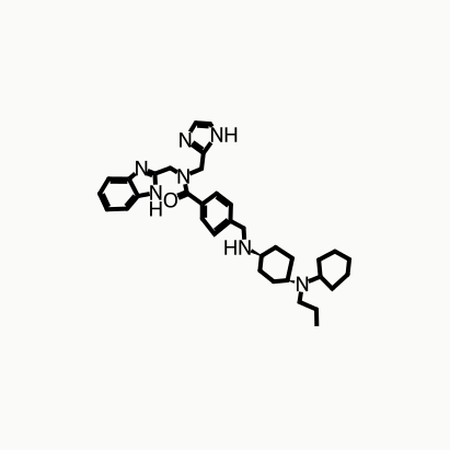 CCCN(C1CCCCC1)[C@H]1CC[C@H](NCc2ccc(C(=O)N(Cc3ncc[nH]3)Cc3nc4ccccc4[nH]3)cc2)CC1